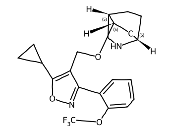 FC(F)(F)Oc1ccccc1-c1noc(C2CC2)c1CO[C@H]1C[C@@H]2CC[C@H]1CN2